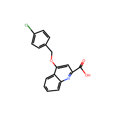 O=C(O)c1cc(OCc2ccc(Cl)cc2)c2ccccc2n1